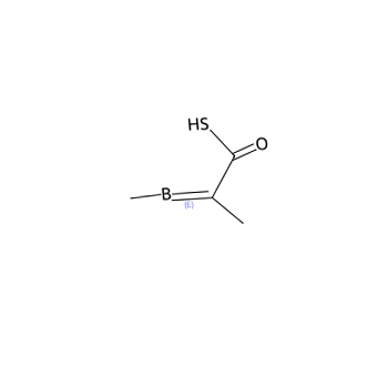 C/B=C(\C)C(=O)S